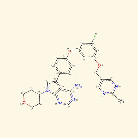 Cc1ncc(COc2cc(F)cc(Oc3ccc(-c4cn(C5CCOCC5)c5ncnc(N)c45)cc3)c2)cn1